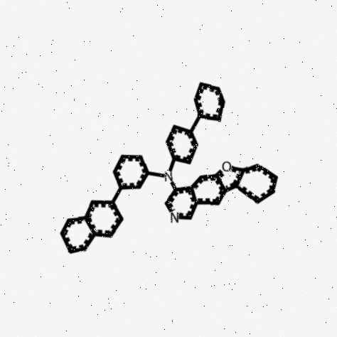 c1ccc(-c2ccc(N(c3cccc(-c4ccc5ccccc5c4)c3)c3cncc4cc5c(cc34)oc3ccccc35)cc2)cc1